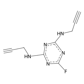 C#CCNc1nc(F)nc(NCC#C)n1